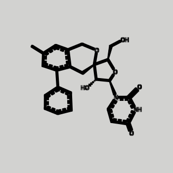 Cc1cc2c(c(-c3ccccc3)c1)C[C@@]1(OC2)[C@@H](CO)O[C@@H](n2ccc(=O)[nH]c2=O)[C@@H]1O